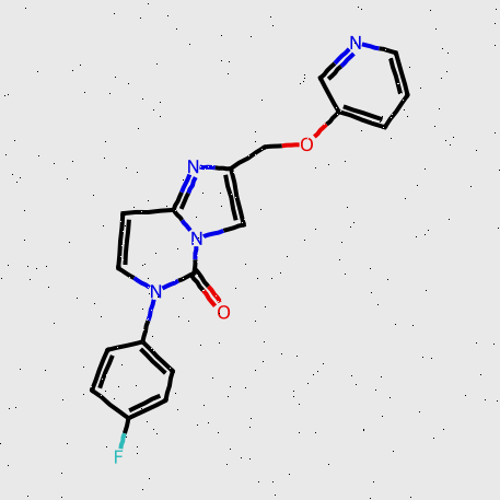 O=c1n(-c2ccc(F)cc2)ccc2nc(COc3cccnc3)cn12